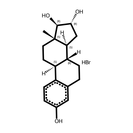 Br.C[C@]12CC[C@@H]3c4ccc(O)cc4CC[C@H]3[C@@H]1C[C@@H](O)[C@@H]2O